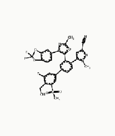 Cc1nc(-c2ccc3c(c2)OC(F)(F)O3)c(-c2cc(-c3cc(F)c(CO)c(S(C)(=O)=O)c3)ccc2-c2cc(C#N)nn2C)o1